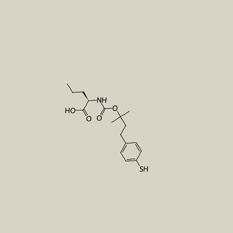 CCC[C@@H](NC(=O)OC(C)(C)CCc1ccc(S)cc1)C(=O)O